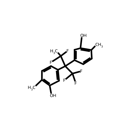 Cc1ccc(C(c2ccc(C)c(O)c2)(C(C)(F)F)C(F)(F)F)cc1O